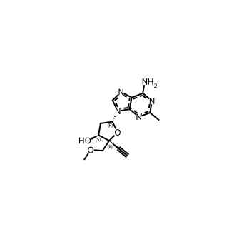 C#C[C@]1(COC)O[C@@H](n2cnc3c(N)nc(C)nc32)C[C@@H]1O